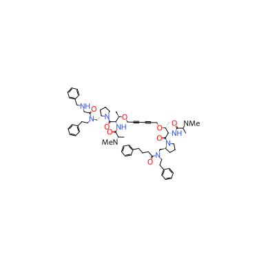 CN[C@@H](C)C(=O)N[C@H](C(=O)N1CCC[C@H]1CN(CCc1ccccc1)C(=O)CCCc1ccccc1)[C@@H](C)OCC#CC#CCO[C@H](C)[C@H](NC(=O)[C@H](C)NC)C(=O)N1CCC[C@H]1CN(CCc1ccccc1)C(=O)CNCc1ccccc1